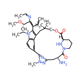 C=C/C(=C(\N=C/C)[C@H](C)OC)c1c2c3cc(ccc3n1CC)-c1nc(nn1C)C[C@H](N)C(=O)N1CCC[C@H](N1)C(=O)OCC(C)(C)C2